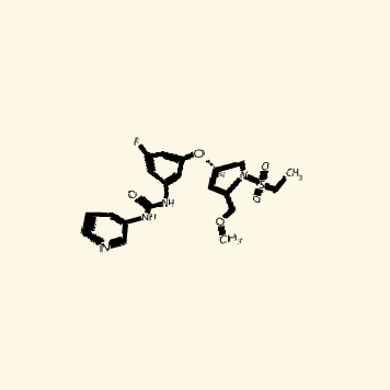 CCS(=O)(=O)N1C[C@@H](Oc2cc(F)cc(NC(=O)Nc3cccnc3)c2)CC1COC